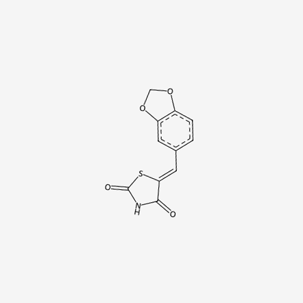 O=C1NC(=O)C(=Cc2ccc3c(c2)OCO3)S1